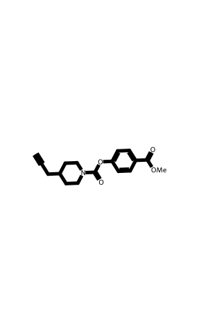 C#CCC1CCN(C(=O)Oc2ccc(C(=O)OC)cc2)CC1